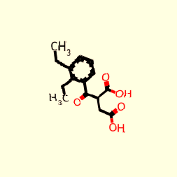 CCc1cccc(C(=O)C(CC(=O)O)C(=O)O)c1CC